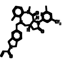 C=CC(=O)N1Cc2ccc(CN3C[C@H]4CC(=O)N(c5cc(C(F)(F)F)cc(C)n5)[C@@H]4C(=O)N(C)c4cccc(C)c43)cc2C1